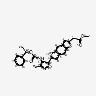 COC(=O)Cc1cc2cc3sc(-c4onc(C)c4NC(=O)O[C@H](C)c4ccccc4)cc3cc2s1